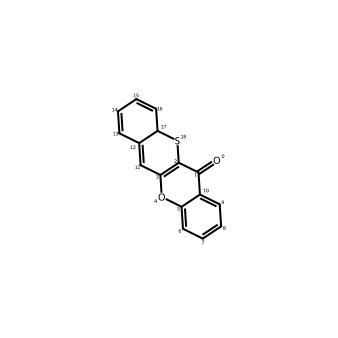 O=c1c2c(oc3ccccc13)C=C1C=CC=CC1S2